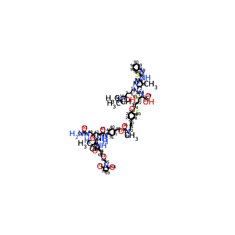 Cc1cc(N(CCCC(O)C[N+](C)(C)C)c2nc(C(=O)O)c(CCCOc3ccc(C#CCN(C)C(=O)OCc4ccc(NC(=O)[C@H](CCCNC(N)=O)NC(=O)[C@@H](NC(=O)CCOCCN5C(=O)C=CC5=O)C(C)C)cc4)cc3F)s2)nnc1Nc1nc2ccccc2s1